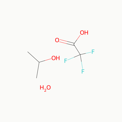 CC(C)O.O.O=C(O)C(F)(F)F